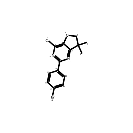 CC1(C)COc2c(Cl)nc(-c3ccc(Br)cc3)nc21